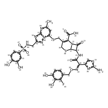 Cc1cc(SCC2=C(C(=O)O)N3C(=O)C(NC(=O)/C(=N\OCc4ccc(O)c(O)c4F)c4csc(N)n4)C3SC2)n2nc(CNS(=O)(=O)c3ccc(O)c(O)c3)nc2n1